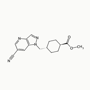 COC(=O)[C@H]1CC[C@H](Cn2ncc3ncc(C#N)cc32)CC1